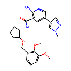 COc1cccc(CO[C@H]2CCC[C@@H]2NC(=O)c2cc(-c3cnn(C)c3)cnc2N)c1OC